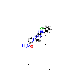 NC(=O)C1CCCN(c2ccc3nc(NC(=O)c4ccccc4Cl)cn3n2)C1